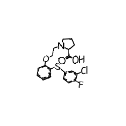 O=C(O)[C@@H]1CCCN1CCOc1ccccc1Sc1ccc(F)c(Cl)c1